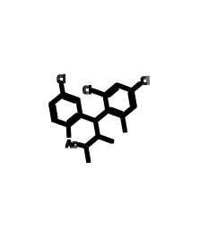 CC(=O)C(C)C(C)C(c1cc(Cl)ccc1C)c1c(C)cc(Cl)cc1Cl